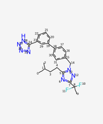 CC(C)CCc1nc(C(C)(F)F)nn1Cc1ccc(-c2cccc(-c3nnn[nH]3)c2)cc1